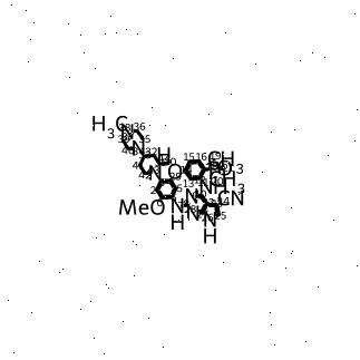 COc1cc2c(cc1Nc1nc(Nc3ccccc3P(C)(C)=O)c3c(C#N)c[nH]c3n1)OC[C@H]1C[C@H](N3CCN(C)CC3)CCN21